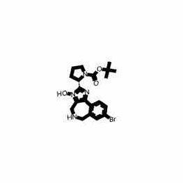 CC(C)(C)OC(=O)N1CCC[C@H]1c1nc2c(n1O)CNCc1cc(Br)ccc1-2